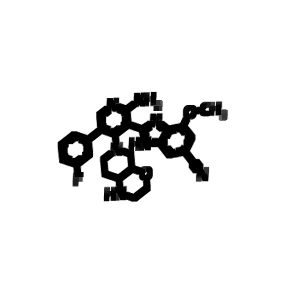 COc1cc(C#N)cc2[nH]c(-c3c(N)ncc(-c4cccc(F)c4)c3N3CCC4NCCOC4C3)nc12